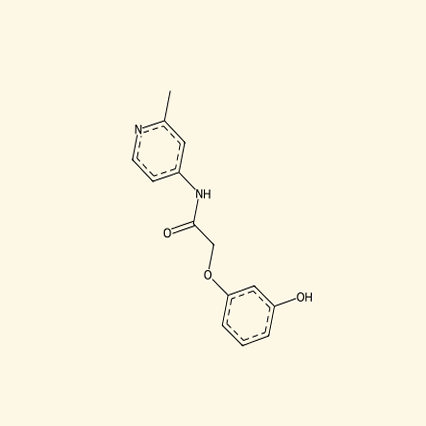 Cc1cc(NC(=O)COc2cccc(O)c2)ccn1